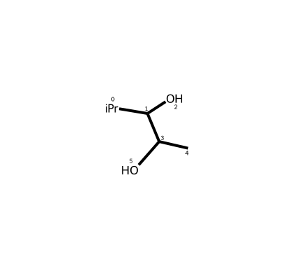 [CH2]C(C)C(O)C(C)O